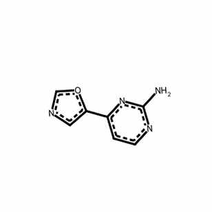 Nc1nccc(-c2cnco2)n1